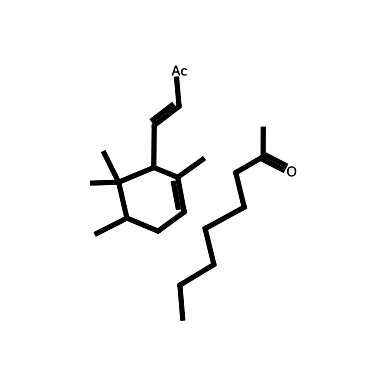 CC(=O)/C=C/C1C(C)=CCC(C)C1(C)C.CCCCCCC(C)=O